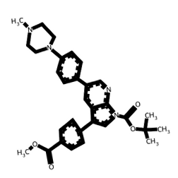 COC(=O)c1ccc(-c2cn(C(=O)OC(C)(C)C)c3ncc(-c4ccc(N5CCN(C)CC5)cc4)cc23)cc1